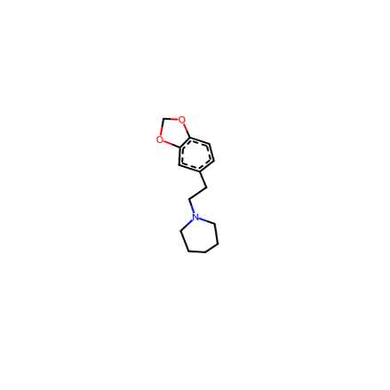 c1cc2c(cc1CCN1CCCCC1)OCO2